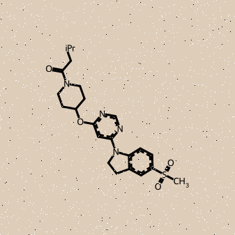 CC(C)CC(=O)N1CCC(Oc2cc(N3CCc4cc(S(C)(=O)=O)ccc43)ncn2)CC1